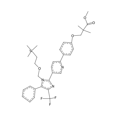 COC(=O)C(C)(C)COc1ccc(-c2ccc(-c3nc(C(F)(F)F)c(-c4ccccc4)n3COCC[Si](C)(C)C)cn2)cc1